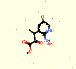 Br.COC(=O)C(=O)C(C)c1cc(Cl)c[nH]c1=N